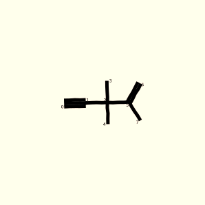 C#CC(C)(C)C(=C)C